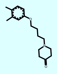 Cc1ccc(OCCCCN2CCC(=O)CC2)cc1C